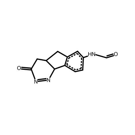 O=CNc1ccc2c(c1)CC1CC(=O)N=NC21